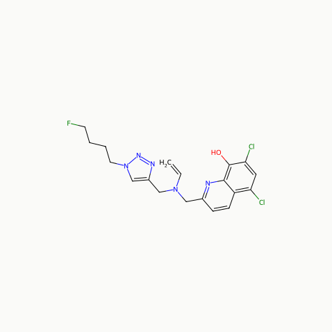 C=CN(Cc1cn(CCCCF)nn1)Cc1ccc2c(Cl)cc(Cl)c(O)c2n1